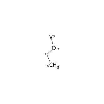 CC[O][V]